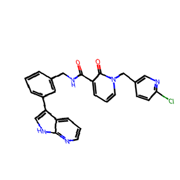 O=C(NCc1cccc(-c2c[nH]c3ncccc23)c1)c1cccn(Cc2ccc(Cl)nc2)c1=O